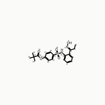 CCC(=NO)c1ccccc1NS(=O)(=O)c1ccc(OC(=O)C(C)(C)C)cc1